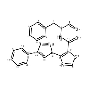 O=CC(Cc1ccccc1)NC(=O)c1scnc1-n1cc(-c2ccccc2)cn1